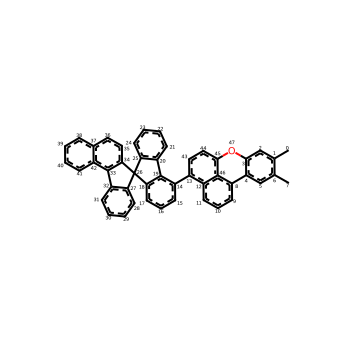 Cc1cc2c(cc1C)-c1cccc3c(-c4cccc5c4-c4ccccc4C54c5ccccc5-c5c4ccc4ccccc54)ccc(c13)O2